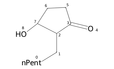 CCCCCCC1C(=O)CCC1O